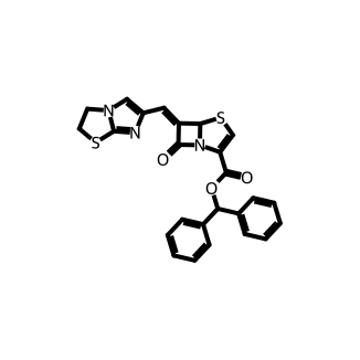 O=C(OC(c1ccccc1)c1ccccc1)C1=CSC2C(=Cc3cn4c(n3)SCC4)C(=O)N12